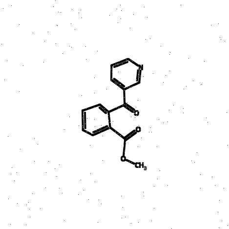 COC(=O)c1ccccc1C(=O)c1cccnc1